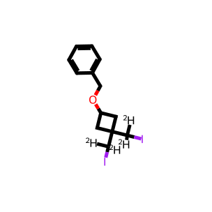 [2H]C([2H])(I)C1(C([2H])([2H])I)CC(OCc2ccccc2)C1